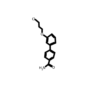 NC(=O)c1ccc(-c2cccc(OCCCCl)c2)cc1